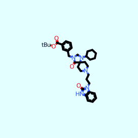 CC(C)(C)OC(=O)c1cccc(CN2CN(C3CCCCC3)C3(CCN(CCCn4c(=O)[nH]c5ccccc54)CC3)C2=O)c1